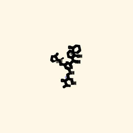 C[C@H](Oc1cc(N/C=C(\N=N)C(=O)N(C)C)nc(C(=N)C2=C(O)[C@]3(CCCCC3=O)CCC2)n1)[C@@H]1CCCN1C